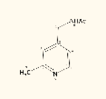 CC(=O)NCc1ccnc(C)c1